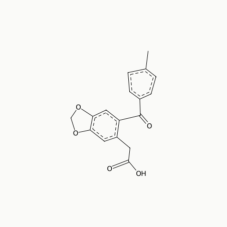 Cc1ccc(C(=O)c2cc3c(cc2CC(=O)O)OCO3)cc1